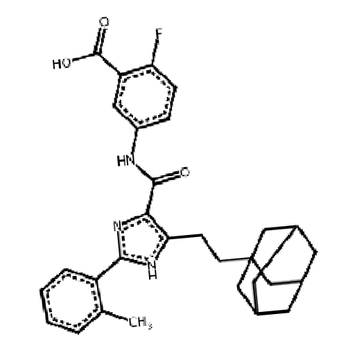 Cc1ccccc1-c1nc(C(=O)Nc2ccc(F)c(C(=O)O)c2)c(CCC23CC4CC(CC(C4)C2)C3)[nH]1